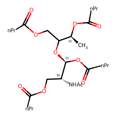 CCCC(=O)OCC(O[C@@H](OC(=O)CCC)[C@@H](COC(=O)CCC)NC(C)=O)[C@H](C)OC(=O)CCC